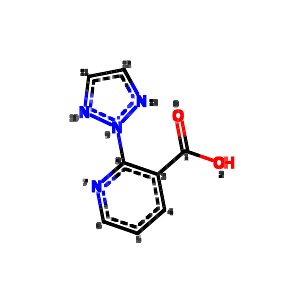 O=C(O)c1cccnc1-n1nccn1